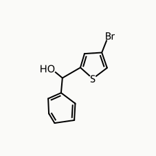 OC(c1ccccc1)c1cc(Br)cs1